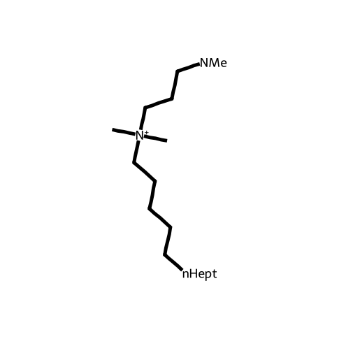 CCCCCCCCCCCC[N+](C)(C)CCCNC